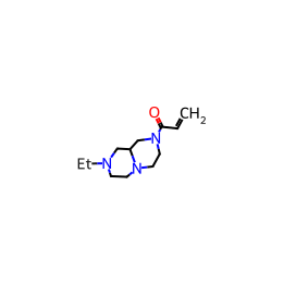 C=CC(=O)N1CCN2CCN(CC)CC2C1